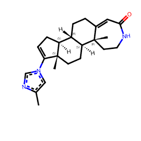 Cc1cn(C2=CC[C@H]3[C@@H]4CCC5=CC(=O)NCC[C@]5(C)[C@H]4CC[C@]23C)cn1